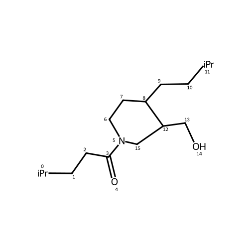 CC(C)CCC(=O)N1CCC(CCC(C)C)C(CO)C1